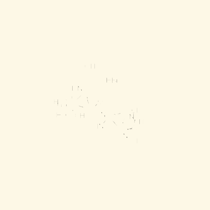 Br.CNC(=O)c1cc2c(cc1N(C)C)CN(CC(=O)c1cc(NCCCO)c(OC)c(C(C)(C)C)c1)C2=N